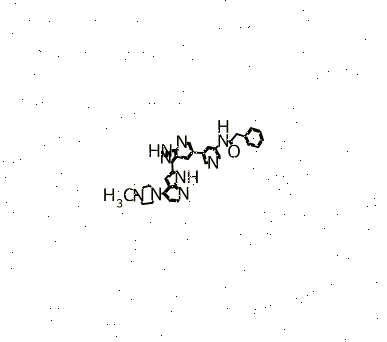 CN1CCN(c2ccnc3[nH]c(-c4n[nH]c5ncc(-c6cncc(NC(=O)Cc7ccccc7)c6)cc45)cc23)CC1